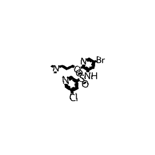 CN(C)CCCOc1ncc(Br)cc1NS(=O)(=O)c1cncc(Cl)c1